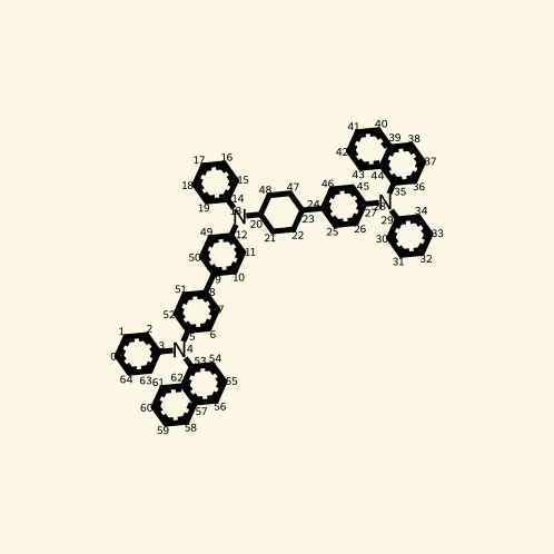 c1ccc(N(c2ccc(-c3ccc(N(c4ccccc4)C4CCC(c5ccc(N(c6ccccc6)c6cccc7ccccc67)cc5)CC4)cc3)cc2)c2cccc3ccccc23)cc1